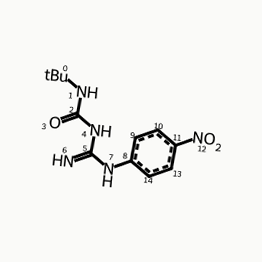 CC(C)(C)NC(=O)NC(=N)Nc1ccc([N+](=O)[O-])cc1